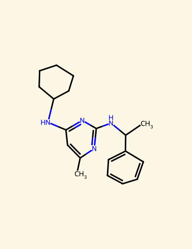 Cc1cc(NC2CCCCC2)nc(NC(C)c2ccccc2)n1